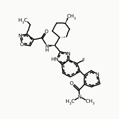 CCc1nocc1C(=O)N[C@H](c1nc2c(F)c(-c3cnccc3C(=O)N(C)C)ccc2[nH]1)[C@H]1CC[C@H](C)CC1